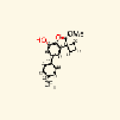 COC(=O)C1(c2cc(O)cc(-c3ccc(C(F)(F)F)cc3)c2)CCC1